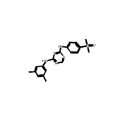 Cc1cc(C)cc(Nc2ncnc(Nc3ccc(P(C)(C)=O)cc3)n2)c1